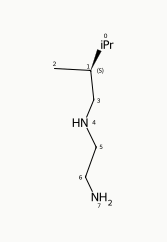 CC(C)[C@H](C)CNCCN